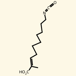 CC(=CCCCCCCCN=C=O)C(=O)O